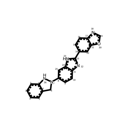 c1ccc2c(c1)CN(c1ccc3nc(-c4ccc5ncoc5c4)[nH]c3c1)N2